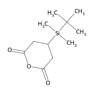 CC(C)(C)[Si](C)(C)C1CC(=O)OC(=O)C1